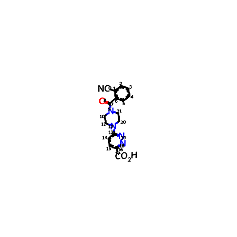 N#Cc1ccccc1C(=O)N1CCN(c2ccc(C(=O)O)nn2)CC1